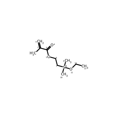 C=C(C)C(=O)OCC[Si](C)(C)OCC